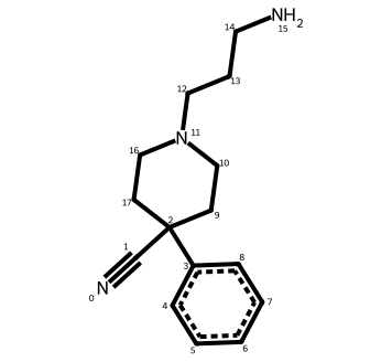 N#CC1(c2ccccc2)CCN(CCCN)CC1